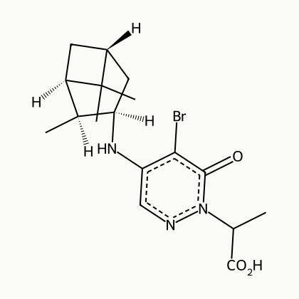 CC(C(=O)O)n1ncc(N[C@@H]2C[C@H]3C[C@H]([C@@H]2C)C3(C)C)c(Br)c1=O